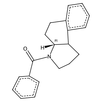 O=C(c1ccccc1)N1CCCC2c3ccccc3CC[C@H]21